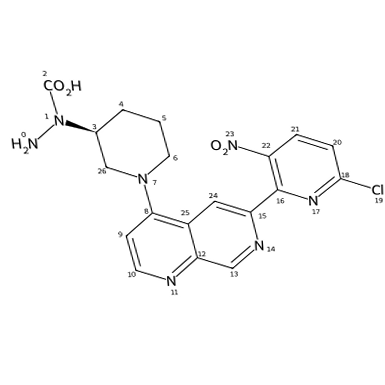 NN(C(=O)O)[C@H]1CCCN(c2ccnc3cnc(-c4nc(Cl)ccc4[N+](=O)[O-])cc23)C1